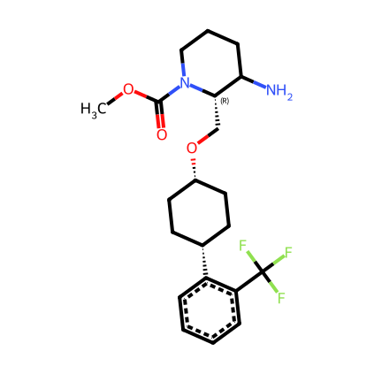 COC(=O)N1CCCC(N)[C@@H]1CO[C@H]1CC[C@@H](c2ccccc2C(F)(F)F)CC1